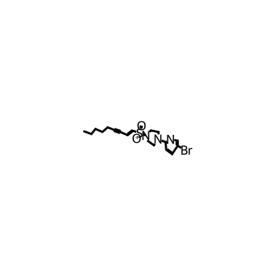 CCCCCC#C/C=C/S(=O)(=O)N1CCN(c2ccc(Br)cn2)CC1